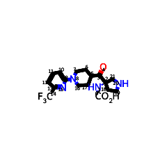 O=C(O)N[C@@]1(C(=O)C2CCN(c3cccc(C(F)(F)F)n3)CC2)CCNC1